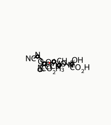 Cc1c(COc2cc(OCc3cncc(C#N)c3)c(CN3CCCC[C@H]3C(=O)O)cc2Cl)cccc1-c1cccc(OCCCN2C[C@H](O)C[C@H]2C(=O)O)c1C